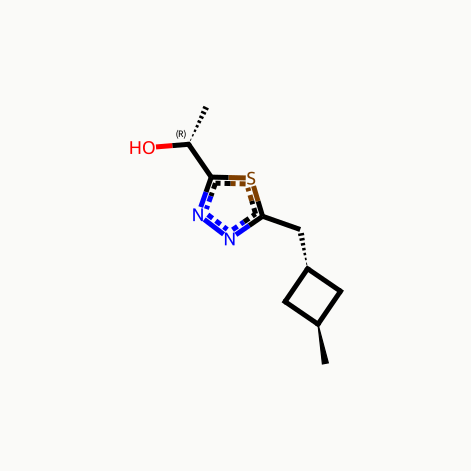 C[C@@H](O)c1nnc(C[C@H]2C[C@H](C)C2)s1